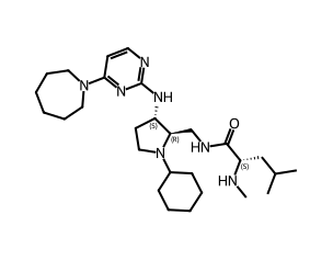 CN[C@@H](CC(C)C)C(=O)NC[C@@H]1[C@@H](Nc2nccc(N3CCCCCC3)n2)CCN1C1CCCCC1